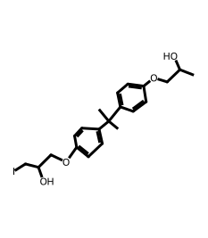 CC(O)COc1ccc(C(C)(C)c2ccc(OCC(O)CI)cc2)cc1